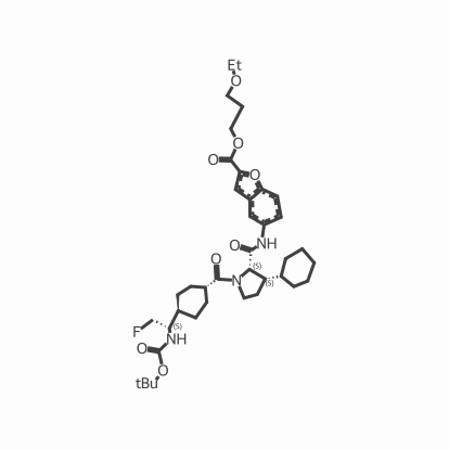 CCOCCCOC(=O)c1cc2cc(NC(=O)[C@@H]3[C@H](C4CCCCC4)CCN3C(=O)[C@H]3CC[C@H]([C@@H](CF)NC(=O)OC(C)(C)C)CC3)ccc2o1